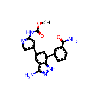 COC(=O)Nc1cc(-c2cc(-c3cccc(C(N)=O)c3)c3[nH]nc(N)c3c2)ccn1